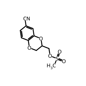 CS(=O)(=O)OCC1COc2ccc(C#N)cc2O1